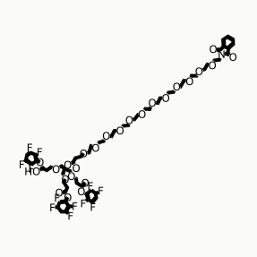 O=C(CCOCC(COCCC(=O)OC1=C(F)C(F)=CC(F)C1F)(COCCC(O)Oc1c(F)c(F)cc(F)c1F)OC(=O)CCOCCOCCOCCOCCOCCOCCOCCOCCOCCOCCOCCOCCN1C(=O)c2ccccc2C1=O)OC1=C(F)C(F)CC(F)=C1F